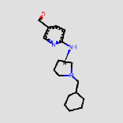 O=Cc1ccc(N[C@@H]2CCCN(CC3CCCCC3)C2)nc1